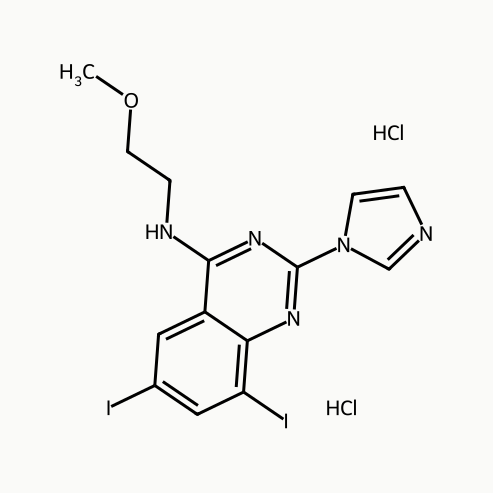 COCCNc1nc(-n2ccnc2)nc2c(I)cc(I)cc12.Cl.Cl